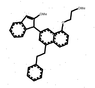 COCCOc1cccc2c(CCc3ccccc3)cc(C3C(OC)=Cc4ccccc43)cc12